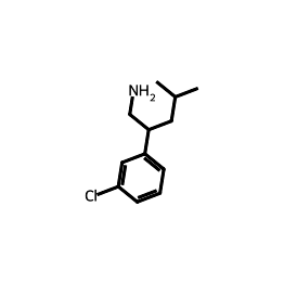 CC(C)CC(CN)c1cccc(Cl)c1